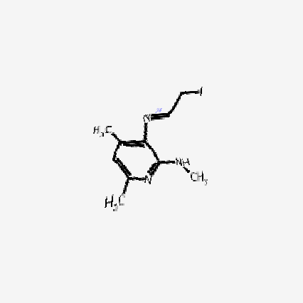 CNc1nc(C)cc(C)c1/N=C/CI